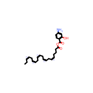 CC/C=C\C/C=C\C/C=C\C/C=C\C/C=C\CCCC(=O)OC(=O)c1ccc(N)cc1O